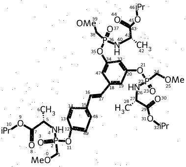 COCP(=O)(N[C@@H](C)C(=O)OC(C)C)Oc1ccc(/C=C/c2cc(OP(=O)(COC)N[C@@H](C)C(=O)OC(C)C)cc(OP(=O)(COC)N[C@@H](C)C(=O)OC(C)C)c2)cc1